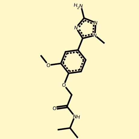 COc1cc(-c2nc(N)nn2C)ccc1OCC(=O)NC(C)C